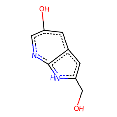 OCc1cc2cc(O)cnc2[nH]1